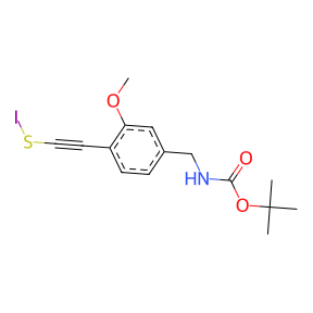 COc1cc(CNC(=O)OC(C)(C)C)ccc1C#CSI